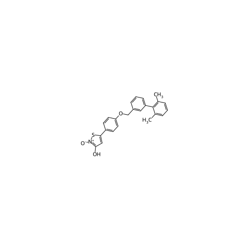 Cc1cccc(C)c1-c1cccc(COc2ccc(-c3cc(O)[n+]([O-])s3)cc2)c1